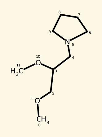 COCC(CN1CCCC1)OC